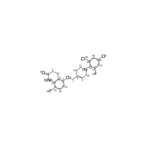 O=C1CCc2c(OCC3=CCN(c4c(F)cc(Cl)cc4Cl)CC3)ccc(F)c2N1